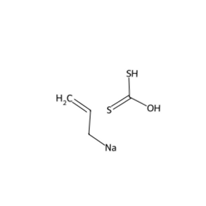 C=C[CH2][Na].OC(=S)S